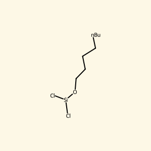 CCCCCCCCO[Si](Cl)Cl